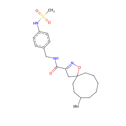 CC(C)(C)C1CCCCCC2(CC1)CC(C(=O)NCc1ccc(NS(C)(=O)=O)cc1)=NO2